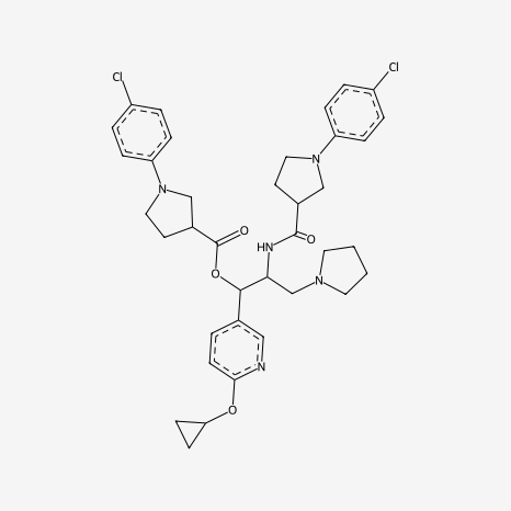 O=C(NC(CN1CCCC1)C(OC(=O)C1CCN(c2ccc(Cl)cc2)C1)c1ccc(OC2CC2)nc1)C1CCN(c2ccc(Cl)cc2)C1